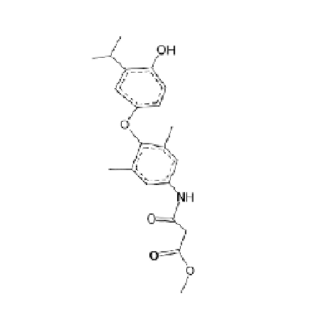 COC(=O)CC(=O)Nc1cc(C)c(Oc2ccc(O)c(C(C)C)c2)c(C)c1